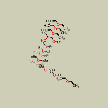 C=COC=C.C=COC=C.C=COC=C.C=COC=C.CCCCOCCCC.CCCCOCCCC.CCCCOCCCC.CCCCOCCCC.CCOCC.CCOCC.CCOCC.CCOCC(C)O